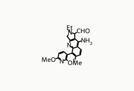 CCN1Cc2nc3c(-c4ccc(OC)nc4OC)c(F)ccc3c(N)c2C1C=O